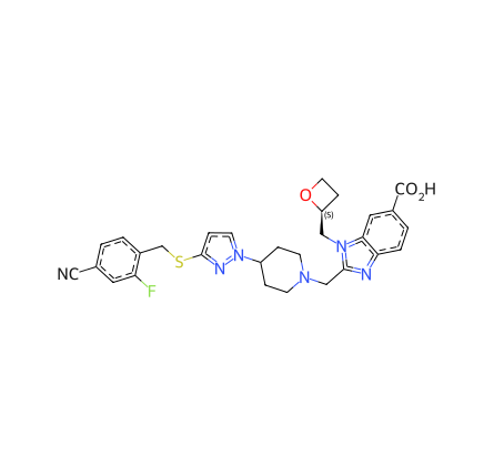 N#Cc1ccc(CSc2ccn(C3CCN(Cc4nc5ccc(C(=O)O)cc5n4C[C@@H]4CCO4)CC3)n2)c(F)c1